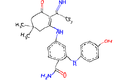 CC1(C)CC(=O)C(C(=N)C(F)(F)F)=C(Nc2ccc(C(N)=O)c(Nc3ccc(O)cc3)c2)C1